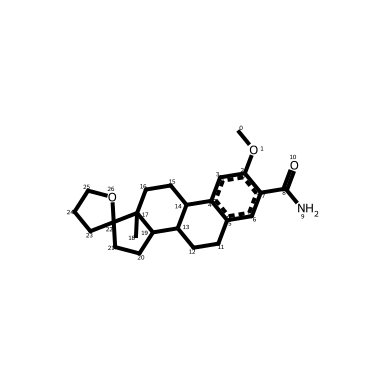 COc1cc2c(cc1C(N)=O)CCC1C2CCC2(C)C1CCC21CCCO1